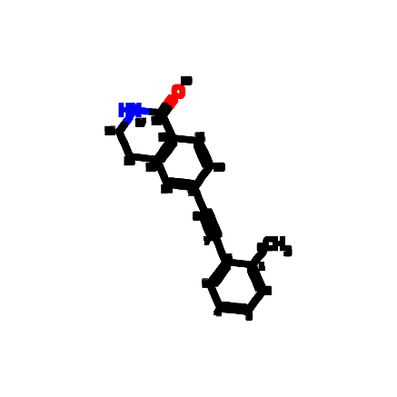 Cc1ccccc1C#Cc1ccc2c(c1)CCNC2=O